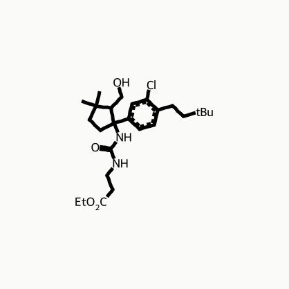 CCOC(=O)CCNC(=O)NC1(c2ccc(CCC(C)(C)C)c(Cl)c2)CCC(C)(C)C1CO